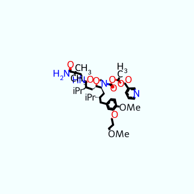 COCCCOc1cc(C[C@@H](C[C@H]2[C@H](C[C@H](C(=O)NCC(C)(C)C(N)=O)C(C)C)OCN2C(=O)OC(C)OC(=O)c2cccnc2)C(C)C)ccc1OC